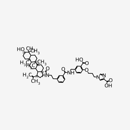 C=C(C)[C@@H]1CC[C@]2(C(=O)NCCc3cccc(C(=O)NCc4ccc(OCCCn5cnc(C(=O)O)c5)c(C(=O)O)c4)c3)CC[C@]3(C)C(CCC4[C@@]5(C)CC[C@H](O)C(C)(C)C5CC[C@]43C)C12